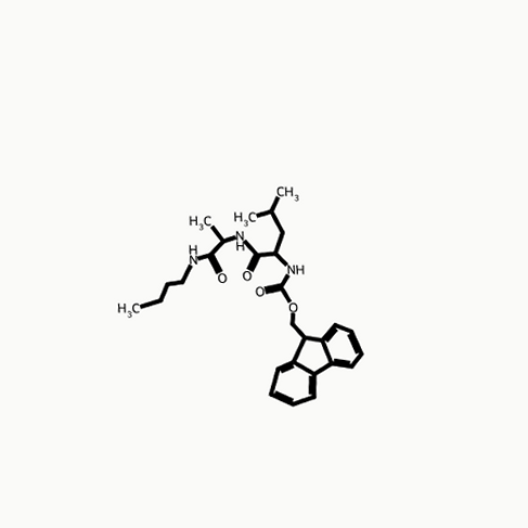 CCCCNC(=O)C(C)NC(=O)C(CC(C)C)NC(=O)OCC1c2ccccc2-c2ccccc21